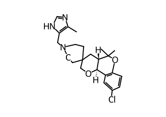 Cc1nc[nH]c1CN1CCC2(CC1)CO[C@@H]1c3cc(Cl)ccc3OC(C)(C)[C@H]1C2